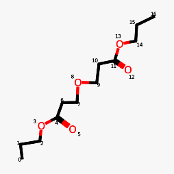 CCCOC(=O)CCOCCC(=O)OCCC